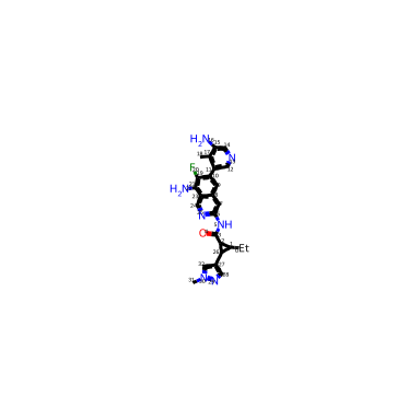 CCC1C(C(=O)Nc2cc3cc(-c4cncc(N)c4C)c(F)c(N)c3cn2)C1c1cnn(C)c1